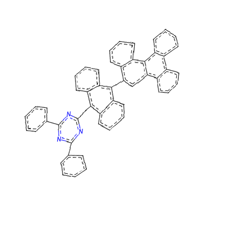 c1ccc(-c2nc(-c3ccccc3)nc(-c3c4ccccc4c(-c4cc5c6ccccc6c6ccccc6c5c5ccccc45)c4ccccc34)n2)cc1